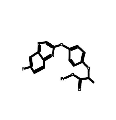 CC(C)OC(=O)C(C)Oc1ccc(Oc2cnc3cc(F)ccc3n2)cc1